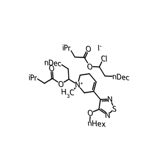 CCCCCCCCCCCC(Cl)OC(=O)CC(C)C.CCCCCCCCCCCC(OC(=O)CC(C)C)[N+]1(C)CCC=C(c2nsnc2OCCCCCC)C1.[I-]